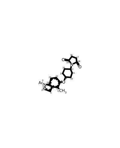 CC(=O)n1ncc2c(C)c(OC3CCC(N4C(=O)CCC4=O)CC3)ccc21